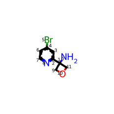 NC1(c2cc(Br)ccn2)COC1